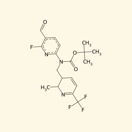 CC1N=C(C(F)(F)F)C=CC1CN(C(=O)OC(C)(C)C)c1ccc(C=O)c(F)n1